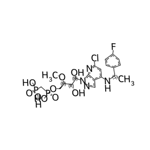 CO[C@H](COP(=O)(O)CP(=O)(O)O)[C@@H](O)[C@@H](O)n1ncc2c(N[C@@H](C)c3ccc(F)cc3)cc(Cl)nc21